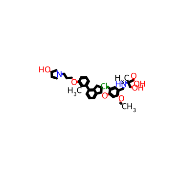 CCOc1cc(O[C@H]2CCc3c(-c4cccc(OCCCN5CC[C@@H](O)C5)c4C)cccc32)c(Cl)cc1CN[C@@](C)(CO)C(=O)O